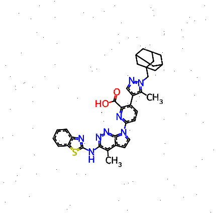 Cc1c(Nc2nc3ccccc3s2)nnc2c1ccn2-c1ccc(-c2cnn(CC34CC5CC(CC(C5)C3)C4)c2C)c(C(=O)O)n1